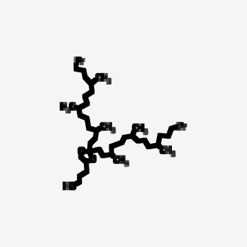 CC(C)CCCC(C)CCCC(C)CCCC(C)CCC1(CCC(C)CCCC(C)CCCC(C)CCCC(C)C)OCC(CCCO)O1